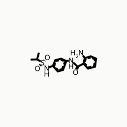 CC(C)S(=O)(=O)Nc1ccc(NC(=O)c2ccccc2N)cc1